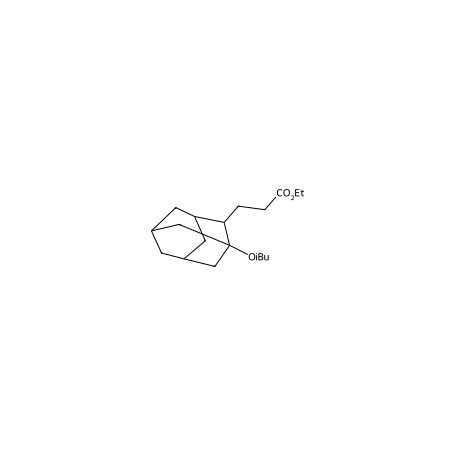 CCOC(=O)CCC1C2CC3CC(C2)CC1(OCC(C)C)C3